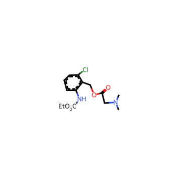 [CH2]COC(=O)Nc1cccc(Cl)c1COC(=O)CN(C)C